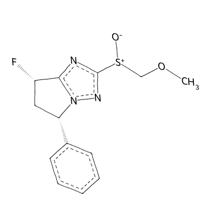 COC[S+]([O-])c1nc2n(n1)[C@H](c1ccccc1)C[C@@H]2F